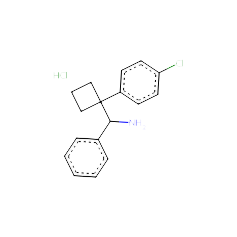 Cl.NC(c1ccccc1)C1(c2ccc(Cl)cc2)CCC1